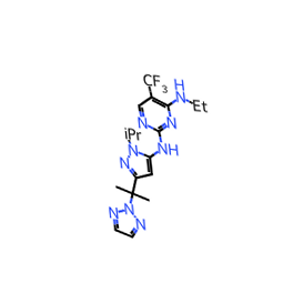 CCNc1nc(Nc2cc(C(C)(C)n3nccn3)nn2C(C)C)ncc1C(F)(F)F